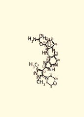 Cc1nn(C)c(N2CCOCC2)c1-c1nc2c(N[C@H]3[C@@H](OC(N)=O)[C@@H]4C=C[C@H]3C4)c(Cl)cnc2[nH]1